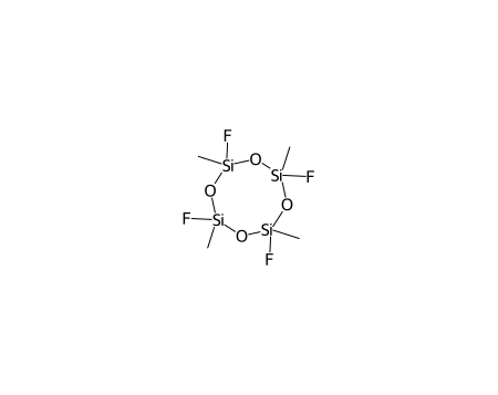 C[Si]1(F)O[Si](C)(F)O[Si](C)(F)O[Si](C)(F)O1